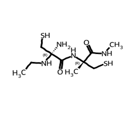 CCN[C@@](N)(CS)C(=O)N[C@@](C)(CS)C(=O)NC